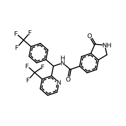 O=C(NC(c1ccc(C(F)(F)F)cc1)c1ncccc1C(F)(F)F)c1ccc2c(c1)C(=O)NC2